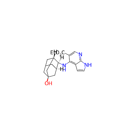 CCOC(=O)c1cnc2[nH]ccc2c1N[C@H]1[C@@H]2CC3C[C@H]1C[C@@](O)(C3)C2